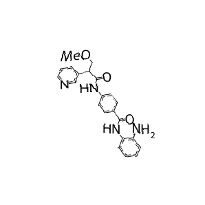 COCC(C(=O)Nc1ccc(C(=O)Nc2ccccc2N)cc1)c1cccnc1